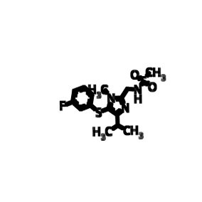 CC(C)c1nc(CNS(C)(=O)=O)n(C)c1Sc1cccc(F)c1